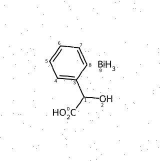 O=C(O)C(O)c1ccccc1.[BiH3]